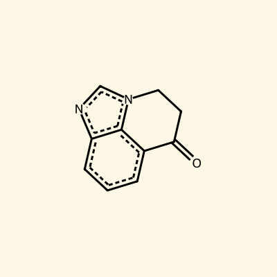 O=C1CCn2cnc3cccc1c32